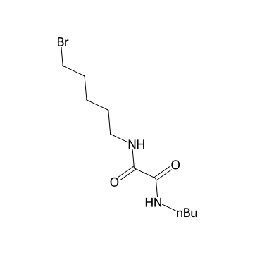 CCCCNC(=O)C(=O)NCCCCCBr